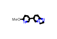 COc1ccc(-c2ccc3nccn3c2)cn1